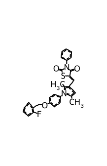 Cc1cc(C=C2SC(=O)N(c3ccccc3)C2=O)c(C)n1-c1ccc(OCc2ccccc2F)cc1